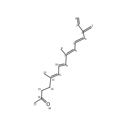 C=CC(=C)/C=C/C=C(C)/C=C/C=C(\C)CCC(C)=O